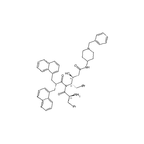 CC(C)C[C@H](N)C(=O)N(C(=O)C(Cc1cccc2ccccc12)Cc1cccc2ccccc12)[C@@H](CC(C)C)[C@@H](O)CC(=O)NC1CCN(Cc2ccccc2)CC1